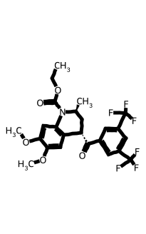 CCOC(=O)N1c2cc(OC)c(OC)cc2[C@@H](C(=O)c2cc(C(F)(F)F)cc(C(F)(F)F)c2)C[C@@H]1C